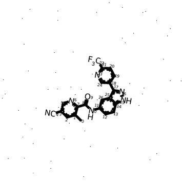 Cc1cc(C#N)cnc1C(=O)Nc1ccc2[nH]nc(-c3ccc(C(F)(F)F)nc3)c2c1